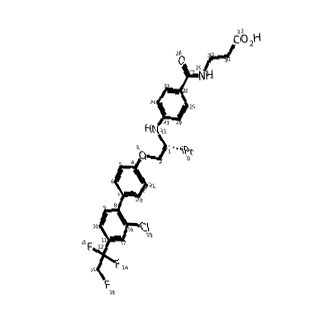 CC(C)[C@H](COc1ccc(-c2ccc(C(F)(F)CF)cc2Cl)cc1)Nc1ccc(C(=O)NCCC(=O)O)cc1